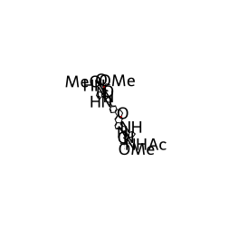 COC(=O)N[C@H](C(=O)N1[C@@H](C)CC[C@H]1c1ncc(-c2ccc3c(c2)COc2cc4c(ccc5nc([C@@H]6CC[C@H](C)N6C(=O)[C@@H](NC(C)=O)[C@@H](C)OC)[nH]c54)cc2-3)[nH]1)[C@@H](C)OC